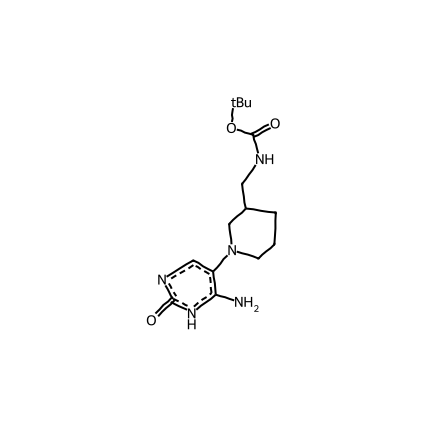 CC(C)(C)OC(=O)NCC1CCCN(c2cnc(=O)[nH]c2N)C1